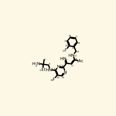 CCC(C)(N)CNc1nc(C(=N)/C=C(\NCc2ccccc2F)C(C)=O)ncc1F